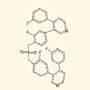 O=S(=O)(Cc1ccc(-c2cnccc2-c2cccc(F)c2)cc1F)Cc1ccc(-c2cnccc2-c2cccc(F)c2)cc1F